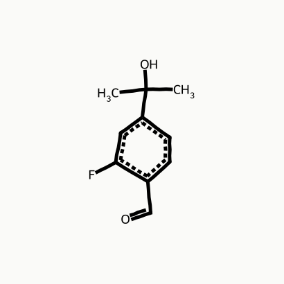 CC(C)(O)c1ccc(C=O)c(F)c1